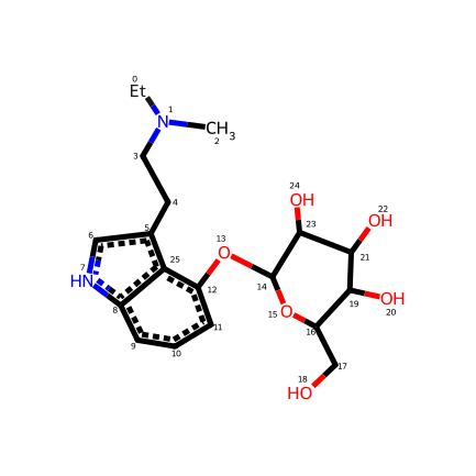 CCN(C)CCc1c[nH]c2cccc(OC3OC(CO)C(O)C(O)C3O)c12